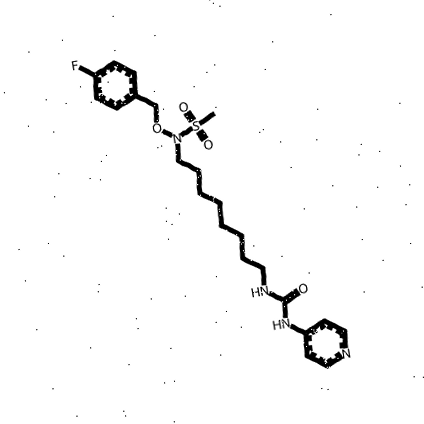 CS(=O)(=O)N(CCCCCCCCNC(=O)Nc1ccncc1)OCc1ccc(F)cc1